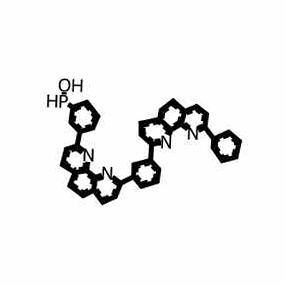 OPc1cccc(-c2ccc3ccc4ccc(-c5cccc(-c6ccc7ccc8ccc(-c9ccccc9)nc8c7n6)c5)nc4c3n2)c1